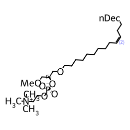 CCCCCCCCCCCC/C=C\CCCCCCCCCOC[C@H](COC)OP(=O)([O-])OCC[N+](C)(C)C